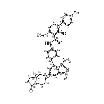 CCOc1ccn(-c2ccc(F)cc2)c(=O)c1C(=O)Nc1ccc(-c2cc([C@H]3CCN4C(=O)CC[C@@H]4C3)cc3c2c(N)nn3C)cc1